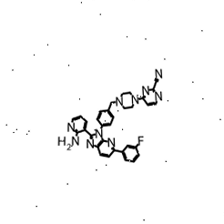 N#Cc1nccc(N2CCN(Cc3ccc(-n4c(-c5cccnc5N)nc5ccc(-c6cccc(F)c6)nc54)cc3)CC2)n1